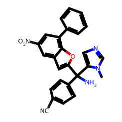 Cn1cncc1C(N)(c1ccc(C#N)cc1)c1cc2cc([N+](=O)[O-])cc(-c3ccccc3)c2o1